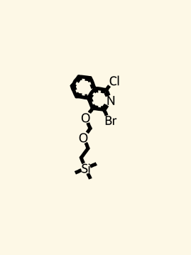 C[Si](C)(C)CCOCOc1c(Br)nc(Cl)c2ccccc12